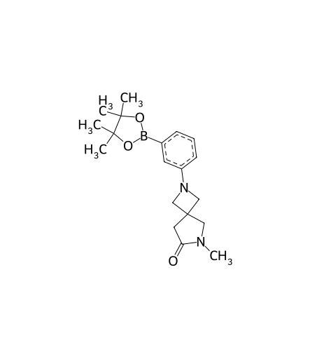 CN1CC2(CC1=O)CN(c1cccc(B3OC(C)(C)C(C)(C)O3)c1)C2